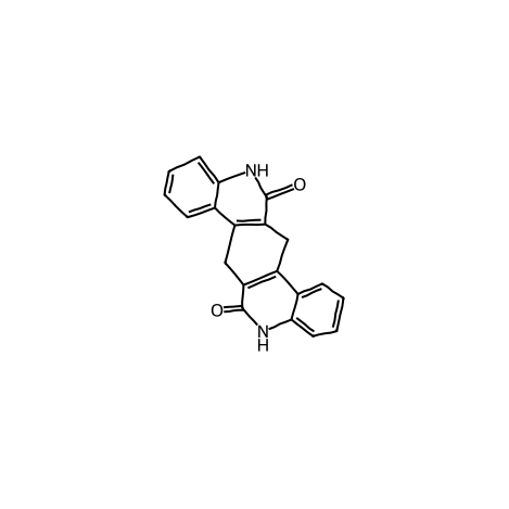 O=c1[nH]c2ccccc2c2c1Cc1c(c(=O)[nH]c3ccccc13)C2